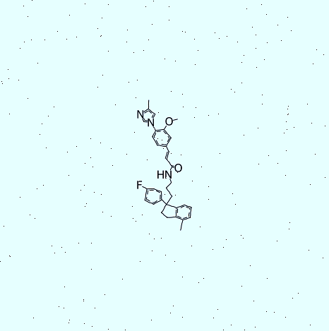 COc1cc(/C=C/C(=O)NCCCC2(c3ccc(F)cc3)CCc3c(C)cccc32)ccc1-n1cnc(C)c1